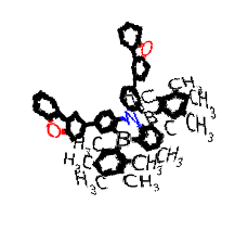 Cc1cc2c3c(c1)B(c1c(C)c(C)c(C)c(C)c1C)c1cc(-c4ccc5oc6ccccc6c5c4)ccc1N3c1ccc(-c3ccc4oc5ccccc5c4c3)cc1B2c1c(C)c(C)c(C)c(C)c1C